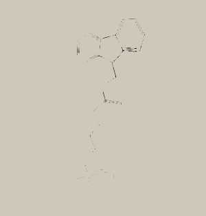 C[Si](C)(Cl)CCCCCC(=O)OCC1c2ccccc2-c2ccccc21